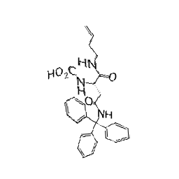 C=CCCNC(=O)[C@H](CC(=O)NC(c1ccccc1)(c1ccccc1)c1ccccc1)NC(=O)O